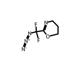 [N-]=[N+]=NC(F)(F)C1=NCCCO1